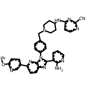 CC(C)Oc1ccc(-c2ccc3nc(-c4cccnc4N)n(-c4ccc(CN5CCC(Nc6ccnc(C#N)n6)CC5)cc4)c3n2)cn1